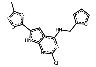 Cc1noc(-c2cc3c(NCc4ccco4)nc(Cl)nc3[nH]2)n1